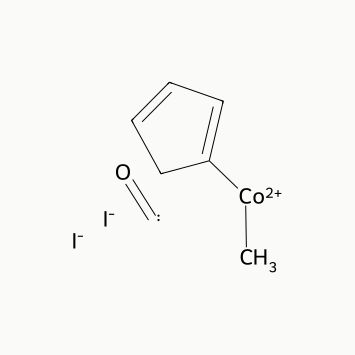 [CH3][Co+2][C]1=CC=CC1.[C]=O.[I-].[I-]